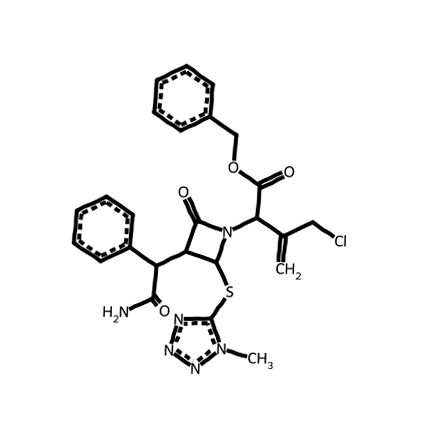 C=C(CCl)C(C(=O)OCc1ccccc1)N1C(=O)C(C(C(N)=O)c2ccccc2)C1Sc1nnnn1C